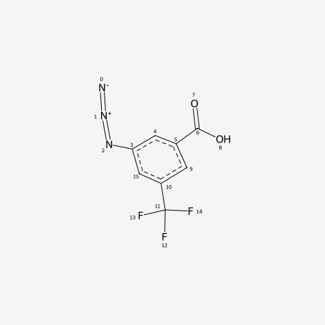 [N-]=[N+]=Nc1cc(C(=O)O)cc(C(F)(F)F)c1